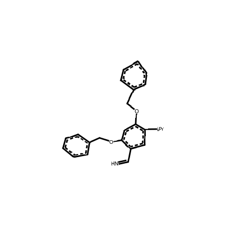 CC(C)c1cc(C=N)c(OCc2ccccc2)cc1OCc1ccccc1